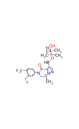 C[C@H]1CN(c2ccc(C(F)(F)F)c(CF)c2)C(=O)c2c(BOC(C)(C)C(C)(C)O)cnn21